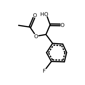 CC(=O)OC(C(=O)O)c1cccc(F)c1